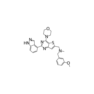 COc1cccc(CN(C)Cc2cc3nc(-c4cccc5[nH]ncc45)nc(N4CCOCC4)c3s2)c1